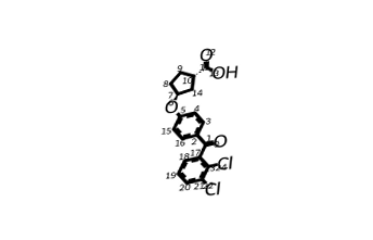 O=C(c1ccc(O[C@H]2CC[C@H](C(=O)O)C2)cc1)c1cccc(Cl)c1Cl